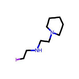 ICCNCCN1CCCCC1